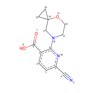 N#Cc1ccc(C(=O)O)c(N2CCOC3(CC3)C2)n1